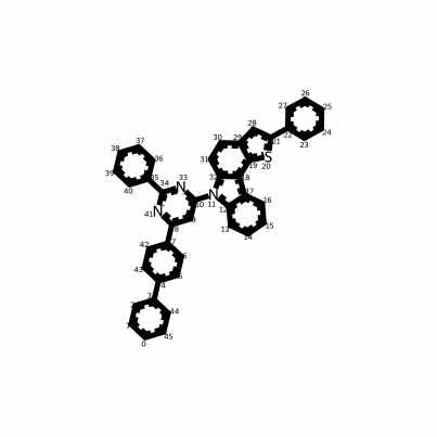 c1ccc(-c2ccc(-c3cc(-n4c5ccccc5c5c6sc(-c7ccccc7)cc6ccc54)nc(-c4ccccc4)n3)cc2)cc1